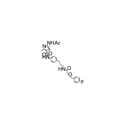 CC(=O)Nc1nc(C)c(S(=O)(=O)Nc2ccc(CCCNC(=O)COCc3ccc(F)cc3)cc2)s1